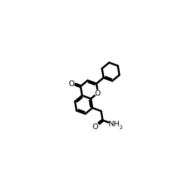 NC(=O)Cc1cccc2c(=O)cc(C3=CCCCC3)oc12